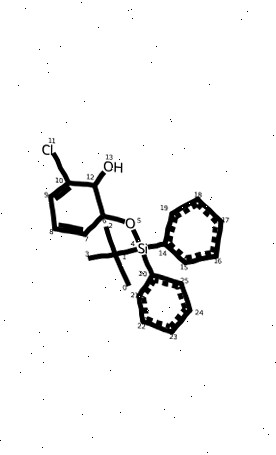 CC(C)(C)[Si](OC1C=CC=C(Cl)C1O)(c1ccccc1)c1ccccc1